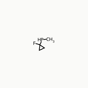 CPC1(F)CC1